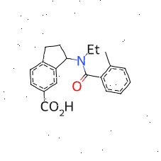 CCN(C(=O)c1ccccc1C)C1CCc2ccc(C(=O)O)cc21